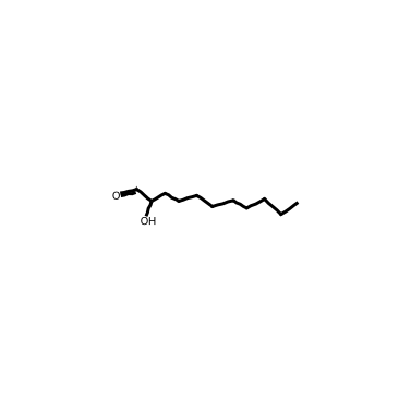 CCCCCCCCCC(O)[C]=O